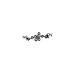 N#Cc1cc(-c2ccc(-c3ccc4c(c3)C(c3ccccc3)(c3ccccc3)c3cc(-c5ccc(-c6ccnc(C#N)c6)cc5)c5ccccc5c3-4)cc2)ccn1